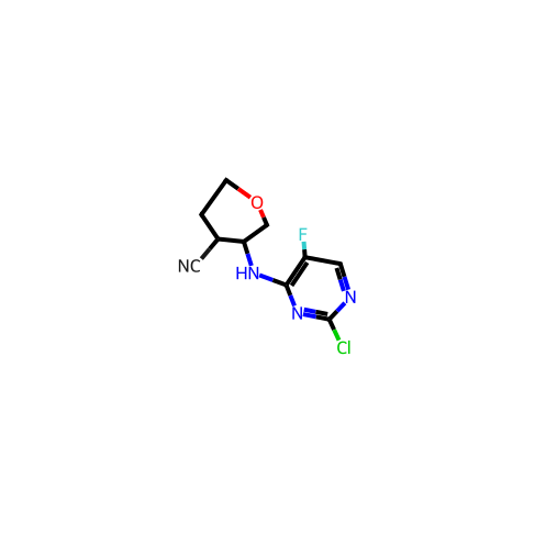 N#CC1CCOCC1Nc1nc(Cl)ncc1F